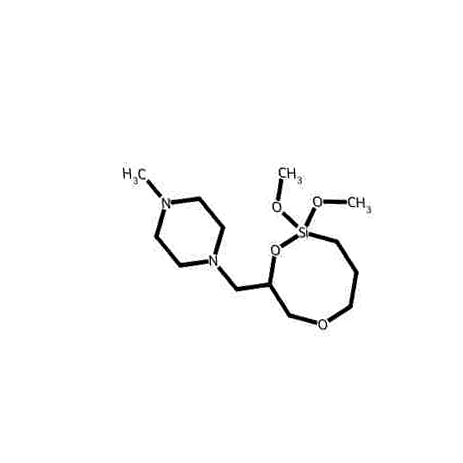 CO[Si]1(OC)CCCOCC(CN2CCN(C)CC2)O1